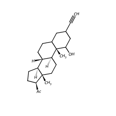 C#CC1CC(O)[C@@]2(C)C(CC[C@@H]3[C@@H]2CC[C@]2(C)[C@@H](C(C)=O)CC[C@@H]32)C1